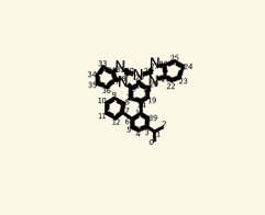 CC(C)c1ccc(-c2ccccc2)c(-c2cc3c4c(c2)n2c5ccccc5nc2n4c2nc4ccccc4n32)c1